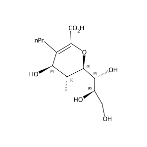 CCCC1=C(C(=O)O)O[C@@H]([C@H](O)[C@H](O)CO)[C@H](C)[C@H]1O